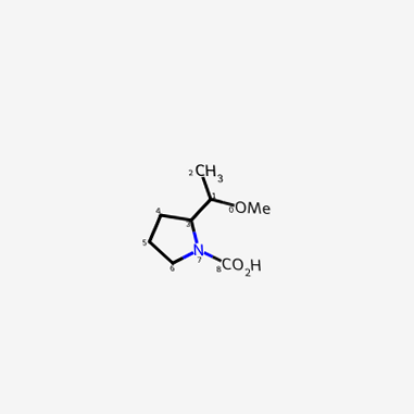 COC(C)C1CCCN1C(=O)O